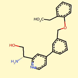 N[C@H](CO)c1cc(-c2cccc(COc3ccccc3CC(=O)O)c2)ccn1